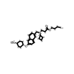 CC(C)(C)[C@H]1CC[C@H](Oc2ccc3cc(CN(CCC(=O)OCCCI)C4CCC4)ccc3c2)CC1